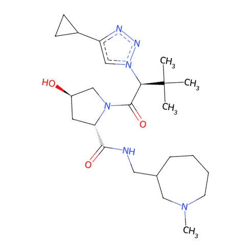 CN1CCCCC(CNC(=O)[C@@H]2C[C@@H](O)CN2C(=O)[C@@H](n2cc(C3CC3)nn2)C(C)(C)C)C1